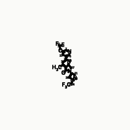 Cc1cc(-c2cncc(OC(F)F)c2)nc2c1C(=O)N(c1cnn(CC(F)(F)F)c1)C2